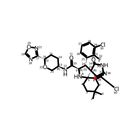 CC1(C)CCC2(CC1)N[C@@H](C(=O)N[C@@H]1CC[C@@H](c3ncon3)OC1)[C@H](c1cccc(Cl)c1F)[C@]21C(=O)Nc2nc(Cl)ccc21